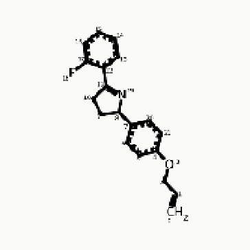 C=CCOc1ccc(C2CCC(c3ccccc3F)=N2)cc1